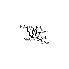 COC(C)O[Si](CCCN)(OC(C)OC)OC(CCCN)(CCCCN)OC